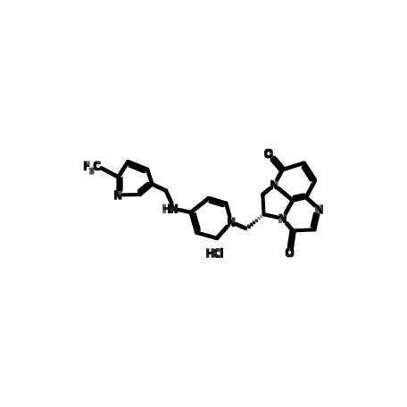 Cl.O=c1ccc2ncc(=O)n3c2n1C[C@H]3CN1C=CC(NCc2ccc(C(F)(F)F)nc2)=CC1